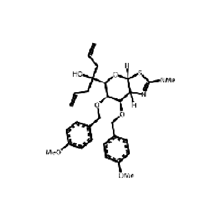 C=CCC(O)(CC=C)[C@H]1O[C@@H]2SC(NC)=N[C@@H]2[C@@H](OCc2ccc(OC)cc2)[C@H]1OCc1ccc(OC)cc1